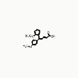 COc1ccc(C(=CC=CC(=O)O)c2ccccc2OC)cc1